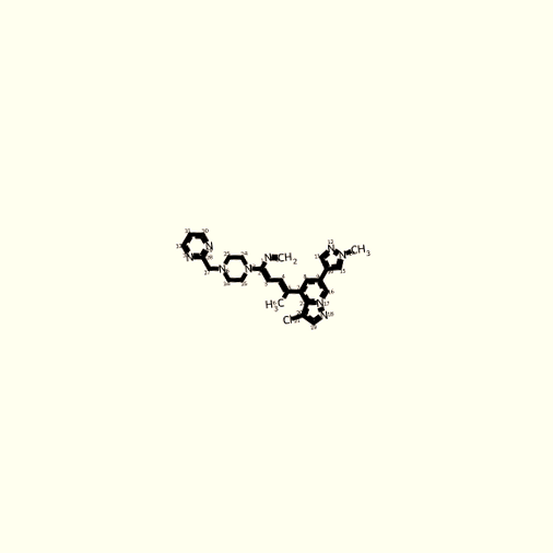 C=N/C(=C\C=C(/C)c1cc(-c2cnn(C)c2)cn2ncc(Cl)c12)N1CCN(Cc2ncccn2)CC1